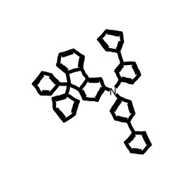 c1ccc(-c2ccc(N(c3cccc(-c4ccccc4)c3)c3ccc4c(c3)-c3ccccc3C4(c3ccccc3)c3ccccc3)cc2)cc1